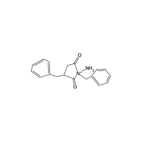 N[N+]1(Cc2ccccc2)C(=O)CC(Cc2ccccc2)C1=O